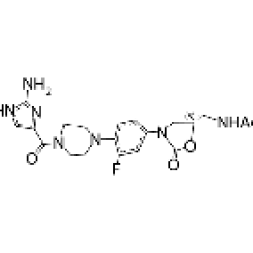 CC(=O)NC[C@H]1CN(c2ccc(N3CCN(C(=O)c4c[nH]c(N)n4)CC3)c(F)c2)C(=O)O1